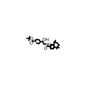 CC(C)(C)OC(=O)N1CCC(C(O)CNC(=O)c2ccc3c(c2)C(C)(C)CCC3(C)C)CC1